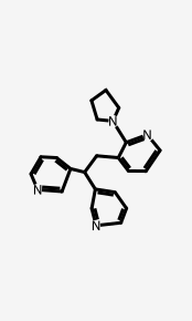 c1cncc(C(Cc2cccnc2N2CCCC2)c2cccnc2)c1